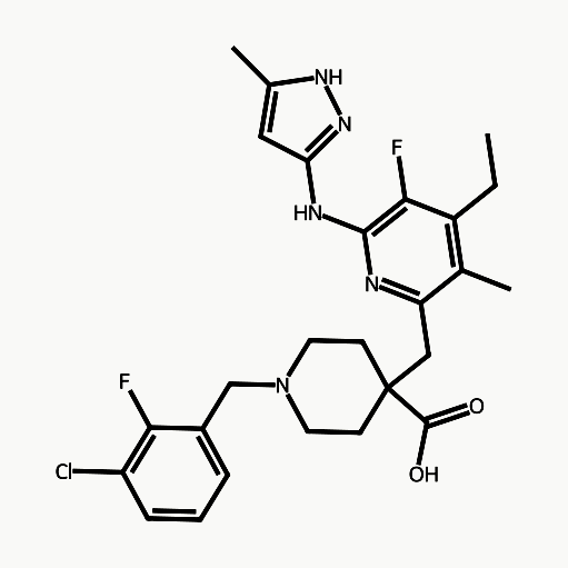 CCc1c(C)c(CC2(C(=O)O)CCN(Cc3cccc(Cl)c3F)CC2)nc(Nc2cc(C)[nH]n2)c1F